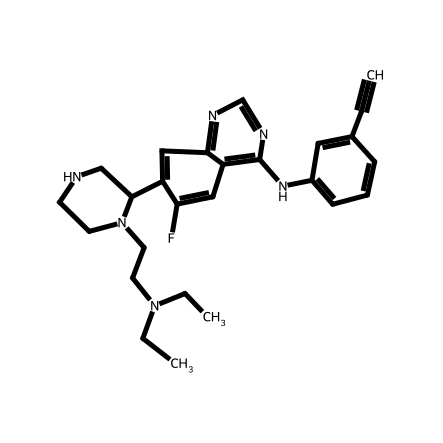 C#Cc1cccc(Nc2ncnc3cc(C4CNCCN4CCN(CC)CC)c(F)cc23)c1